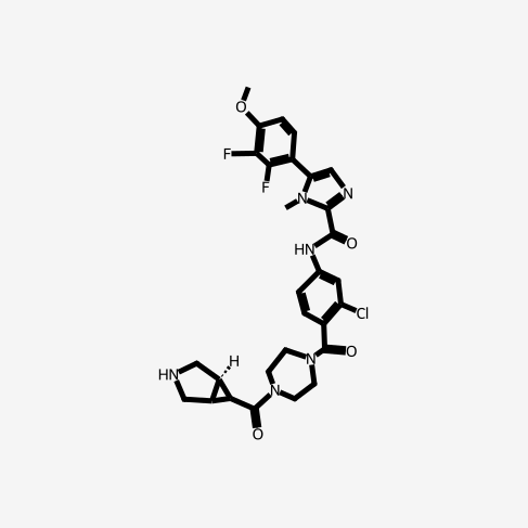 COc1ccc(-c2cnc(C(=O)Nc3ccc(C(=O)N4CCN(C(=O)C5C6CNC[C@H]65)CC4)c(Cl)c3)n2C)c(F)c1F